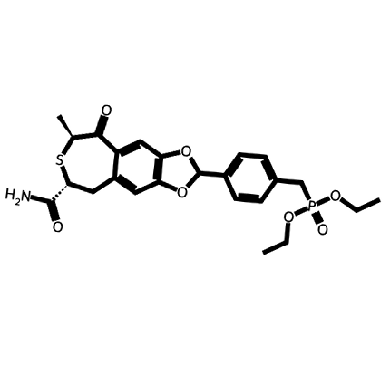 CCOP(=O)(Cc1ccc(C2Oc3cc4c(cc3O2)C(=O)[C@H](C)S[C@@H](C(N)=O)C4)cc1)OCC